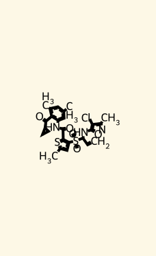 C=CC(Nc1onc(C)c1Cl)S(=O)(=O)c1cc(C)sc1C(=O)Nc1cc(C)cc(C)c1C(=O)C1CC1